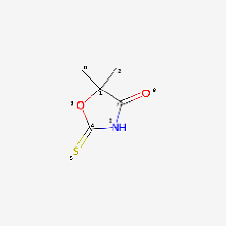 CC1(C)OC(=S)NC1=O